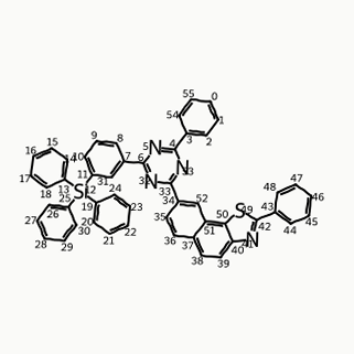 c1ccc(-c2nc(-c3cccc([Si](c4ccccc4)(c4ccccc4)c4ccccc4)c3)nc(-c3ccc4ccc5nc(-c6ccccc6)sc5c4c3)n2)cc1